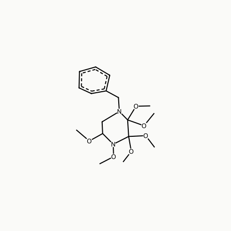 COC1CN(Cc2ccccc2)C(OC)(OC)C(OC)(OC)N1OC